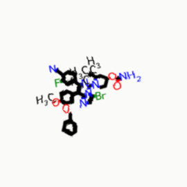 COc1ccc(-c2c(-c3ccc(C#N)c(F)c3)nc(N3CCC(OC(N)=O)CC3C(C)(C)C)n3c(Br)cnc23)cc1OCc1ccccc1